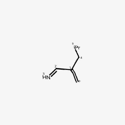 C=C(C=N)CC(C)C